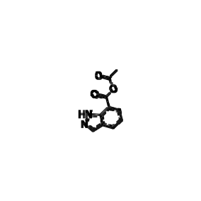 CC(=O)OC(=O)c1cccc2cn[nH]c12